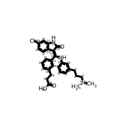 CN(C)CCCc1cccc(N/C(=C2\C(=O)Nc3cc(Cl)ccc32)c2cccc(CCC(=O)O)c2)c1